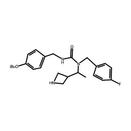 CC(C)COc1ccc(CNC(=O)N(Cc2ccc(F)cc2)C(C)C2CNC2)cc1